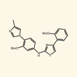 COc1ccccc1-c1csc(Nc2ccc(-n3cnc(C)c3)c(OC)c2)n1